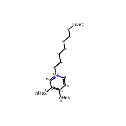 CCCCCCCCCCCCCCCCC[n+]1ccc(CCCCCC)c(CCCCCC)c1